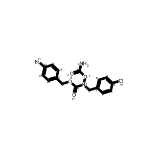 NC(=O)ON(Cc1ccc(Cl)cc1)C(=O)OCc1ccc(Br)cc1